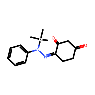 C[Si](C)(C)N(/N=C1/CCC(=O)CC1=O)c1ccccc1